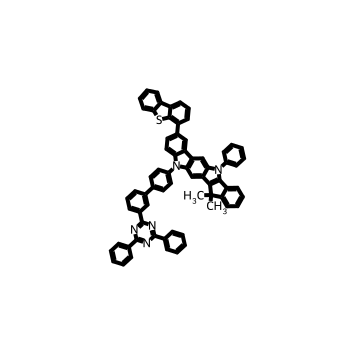 CC1(C)c2ccccc2-c2c1c1cc3c(cc1n2-c1ccccc1)c1cc(-c2cccc4c2sc2ccccc24)ccc1n3-c1ccc(-c2cccc(-c3nc(-c4ccccc4)nc(-c4ccccc4)n3)c2)cc1